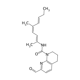 CC/C=C/C(C)=C\C=C(/C)NC(=O)N1CCCc2ccc(C=O)nc21